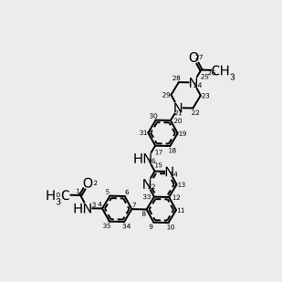 CC(=O)Nc1ccc(-c2cccc3cnc(Nc4ccc(N5CCN(C(C)=O)CC5)cc4)nc23)cc1